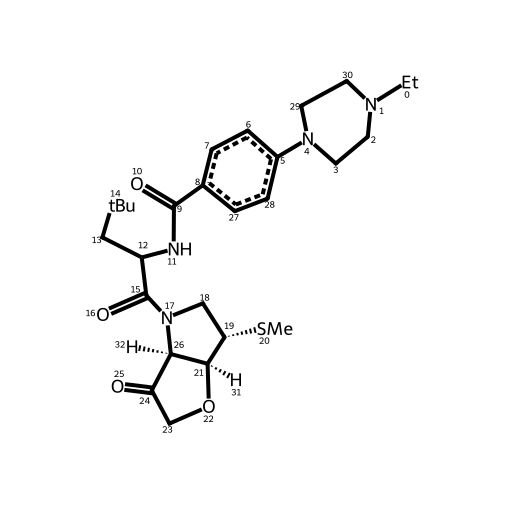 CCN1CCN(c2ccc(C(=O)NC(CC(C)(C)C)C(=O)N3C[C@H](SC)[C@H]4OCC(=O)[C@H]43)cc2)CC1